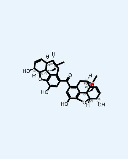 CN1CC[C@]23c4c5c(C(=O)c6cc(O)c7c8c6C[C@@H]6[C@@H]9C=C[C@H](O)[C@H](O7)[C@]89CCN6C)cc(O)c4O[C@H]2[C@@H](O)C=C[C@H]3[C@H]1C5